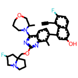 C#Cc1c(F)ccc2cc(O)cc(-c3ccc4c(N5CCCOCC5C)nc(OCC56CCCN5CC(F)C6)nc4c3C)c12